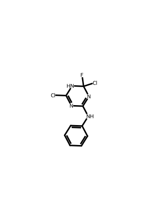 FC1(Cl)N=C(Nc2ccccc2)N=C(Cl)N1